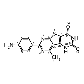 Cc1nc(-c2ccc(N)cc2)nc2sc3c(=O)[nH]c(=O)[nH]c3c12